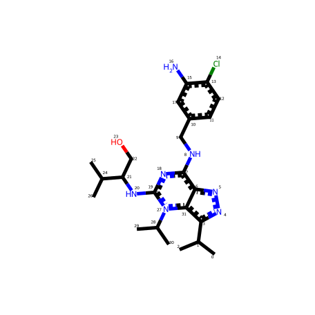 CC(C)c1nnc2c(NCc3ccc(Cl)c(N)c3)nc(NC(CO)C(C)C)n(C(C)C)c1-2